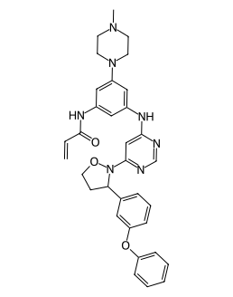 C=CC(=O)Nc1cc(Nc2cc(N3OCCC3c3cccc(Oc4ccccc4)c3)ncn2)cc(N2CCN(C)CC2)c1